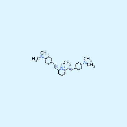 CN(C)c1ccc(/C=C/c2cccc(/C=C/c3ccc(N(C)C)cc3)[n+]2CC(F)(F)F)cc1